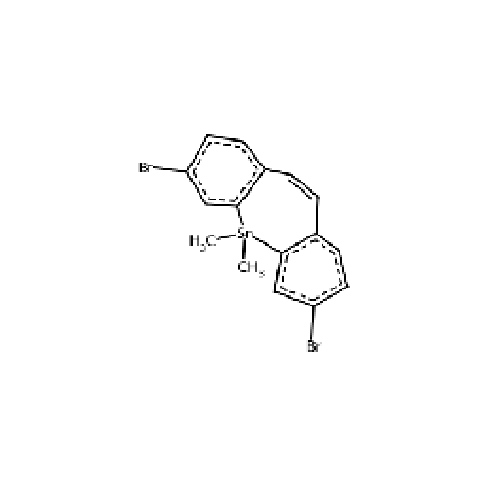 [CH3][Sn]1([CH3])[c]2cc(Br)ccc2C=Cc2ccc(Br)c[c]21